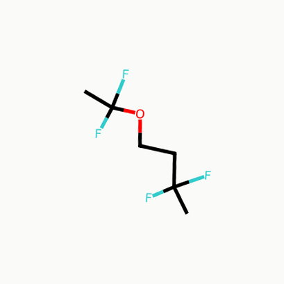 CC(F)(F)CCOC(C)(F)F